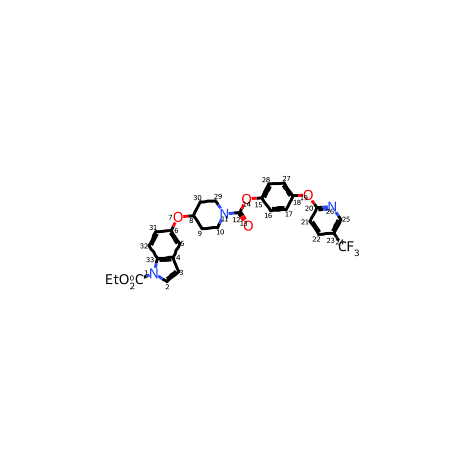 CCOC(=O)n1ccc2cc(OC3CCN(C(=O)Oc4ccc(Oc5ccc(C(F)(F)F)cn5)cc4)CC3)ccc21